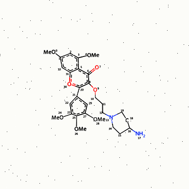 COc1cc(OC)c2c(=O)c(OCCCN3CCC(N)CC3)c(-c3cc(OC)c(OC)c(OC)c3)oc2c1